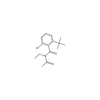 CCN(C(C)=O)C(=O)c1c(Cl)cccc1[Si](C)(C)C